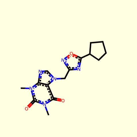 Cn1c(=O)c2c(ncn2Cc2noc(C3CCCC3)n2)n(C)c1=O